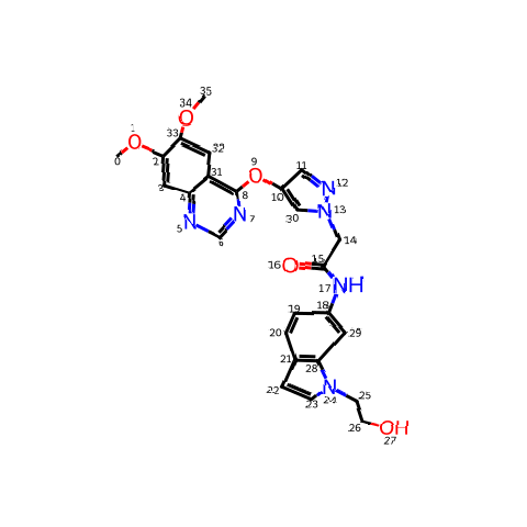 COc1cc2ncnc(Oc3cnn(CC(=O)Nc4ccc5ccn(CCO)c5c4)c3)c2cc1OC